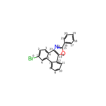 Brc1ccc2c(c1)c1ccccc1c1oc(-c3ccccc3)nc21